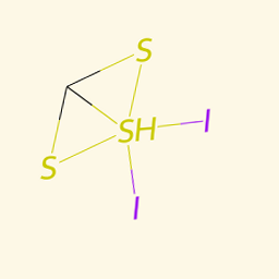 I[SH]12(I)SC1S2